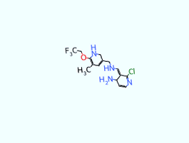 CC1=C(OCC(F)(F)F)NCC(CN/C=C2/C(Cl)=NC=CC2N)=C1